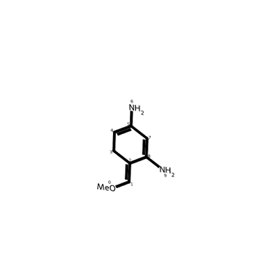 COC=C1CC=C(N)C=C1N